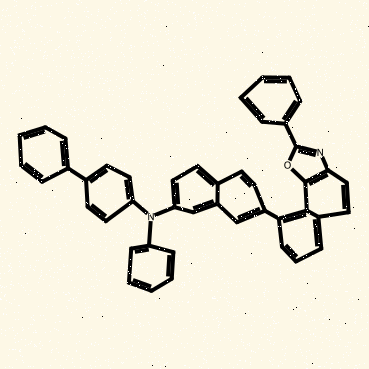 c1ccc(-c2ccc(N(c3ccccc3)c3ccc4ccc(-c5cccc6ccc7nc(-c8ccccc8)oc7c56)cc4c3)cc2)cc1